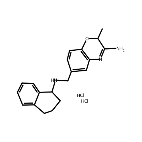 CC1Oc2ccc(CNC3CCCc4ccccc43)cc2N=C1N.Cl.Cl